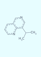 CC(C)c1cncc2cccnc12